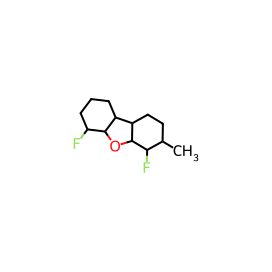 CC1CCC2C3CCCC(F)C3OC2C1F